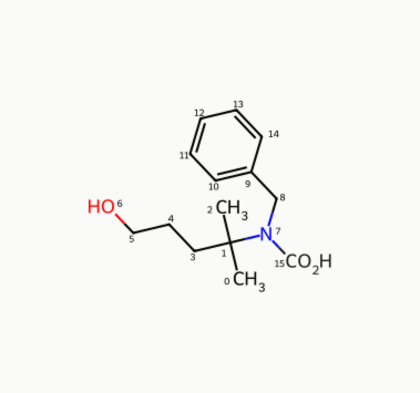 CC(C)(CCCO)N(Cc1ccccc1)C(=O)O